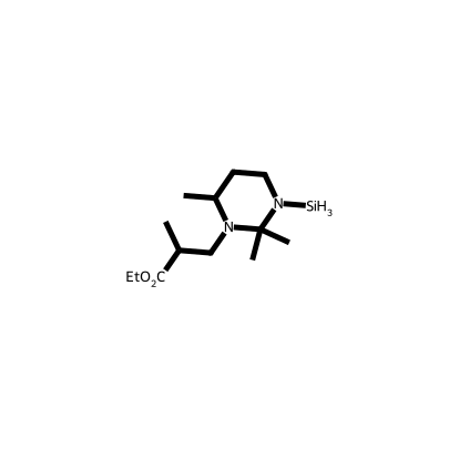 CCOC(=O)C(C)CN1C(C)CCN([SiH3])C1(C)C